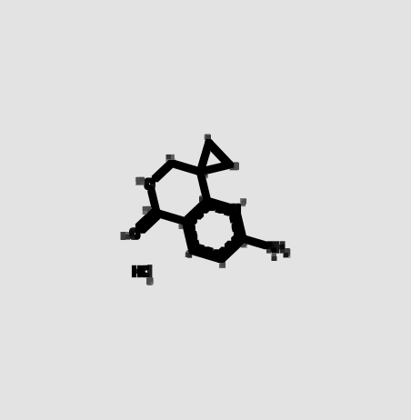 Cl.Nc1ccc2c(n1)C1(CC1)COC2=O